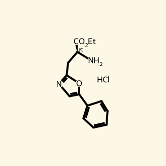 CCOC(=O)[C@@H](N)Cc1ncc(-c2ccccc2)o1.Cl